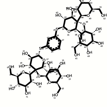 OC[C@H]1O[C@@H]([C@]2(O[C@@H]3O[C@H](CO)[C@@H](O)[C@H](O)[C@H]3O)[C@H](O)[C@@H](O)[C@H](Sc3cccc(S[C@@H]4O[C@H](CO)[C@](O[C@@H]5O[C@H](CO)[C@@H](O)[C@H](O)[C@H]5O)([C@@H]5O[C@H](CO)[C@@H](O)[C@H](O)[C@H]5O)[C@H](O)[C@H]4O)c3)O[C@@H]2CO)[C@H](O)[C@@H](O)[C@@H]1O